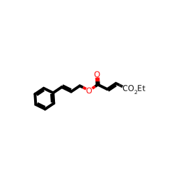 CCOC(=O)C=CC(=O)OCC=Cc1ccccc1